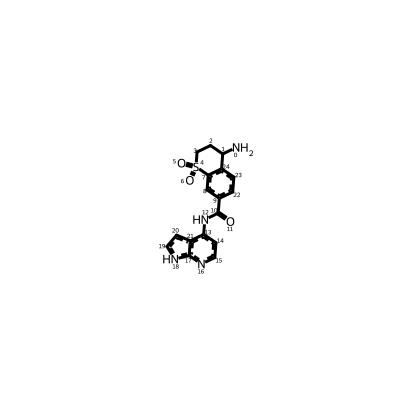 NC1CCS(=O)(=O)c2cc(C(=O)Nc3ccnc4[nH]ccc34)ccc21